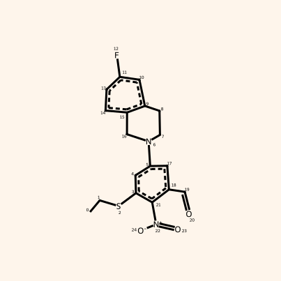 CCSc1cc(N2CCc3cc(F)ccc3C2)cc(C=O)c1[N+](=O)[O-]